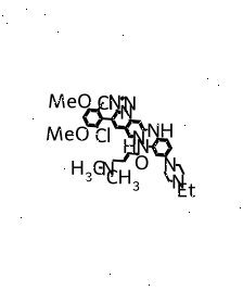 CCN1CCN(c2ccc(Nc3cc4c(cn3)cc(-c3c(Cl)c(OC)cc(OC)c3Cl)c3ncnn34)c(NC(=O)/C=C/CN(C)C)c2)CC1